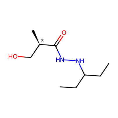 CCC(CC)NNC(=O)[C@H](C)CO